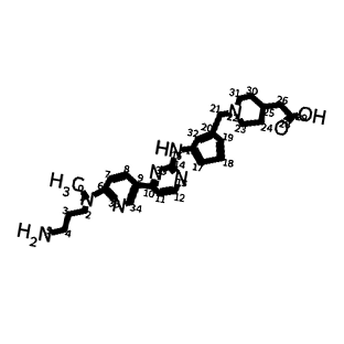 CN(CCCN)c1ccc(-c2ccnc(Nc3cccc(CN4CCC(CC(=O)O)CC4)c3)n2)cn1